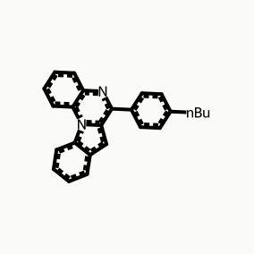 CCCCc1ccc(-c2nc3ccccc3n3c2cc2ccccc23)cc1